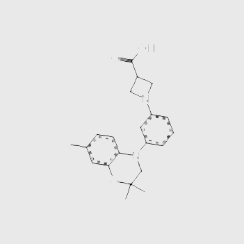 Cc1ccc2c(c1)OC(C)(C)CN2c1cccc(N2CC(C(=O)O)C2)c1